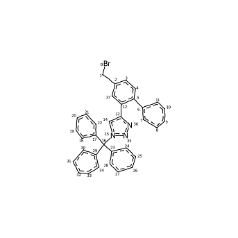 BrCc1ccc(-c2ccccc2)c(-c2cn(C(c3ccccc3)(c3ccccc3)c3ccccc3)nn2)c1